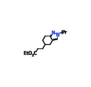 CCOC(=O)CCC1CCc2nn(C(C)C)cc2C1